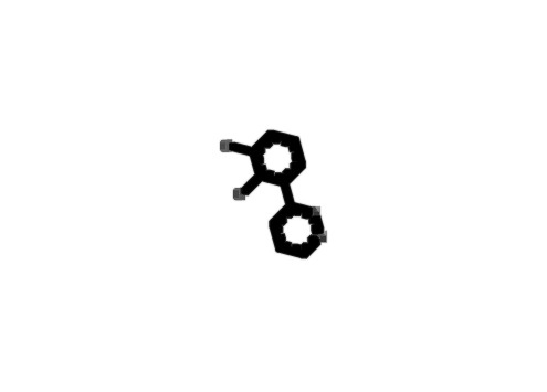 Clc1cccc(-c2cc[c]nn2)c1Cl